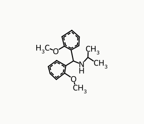 COc1ccccc1C(NC(C)C)c1ccccc1OC